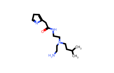 CC(C)CCN(CCN)CCNC(=O)CC1=CCC=N1